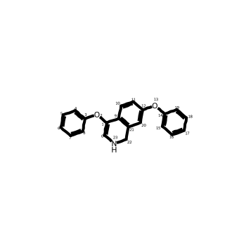 C1=C(Oc2ccccc2)c2ccc(Oc3ccccc3)cc2CN1